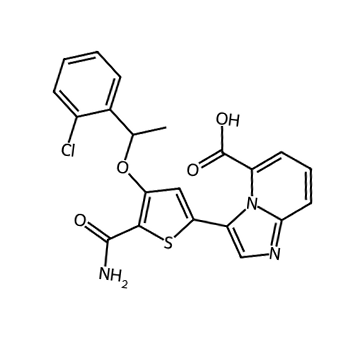 CC(Oc1cc(-c2cnc3cccc(C(=O)O)n23)sc1C(N)=O)c1ccccc1Cl